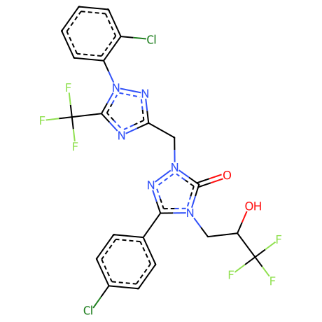 O=c1n(Cc2nc(C(F)(F)F)n(-c3ccccc3Cl)n2)nc(-c2ccc(Cl)cc2)n1CC(O)C(F)(F)F